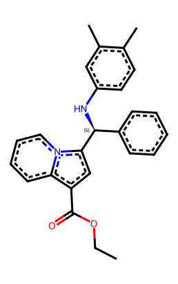 CCOC(=O)c1cc([C@@H](Nc2ccc(C)c(C)c2)c2ccccc2)n2ccccc12